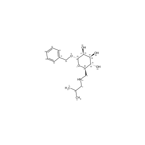 CC(C)CNC[C@H]1O[C@H](OCc2ccccc2)[C@@H](O)[C@@H](O)[C@@H]1O